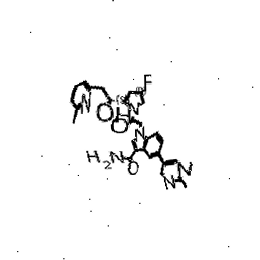 Cc1cccc(CC(O)[C@@H]2C[C@@H](F)CN2C(=O)Cn2cc(C(N)=O)c3cc(-c4cnc(C)nc4)ccc32)n1